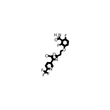 NC(=O)c1c(F)ccc(OCCc2nc(-c3ccc(C(F)(F)F)nc3)c(Cl)o2)c1F